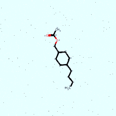 [CH2]CCCC1CCC(COC(C)=O)CC1